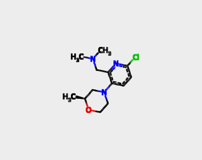 C[C@H]1CN(c2ccc(Cl)nc2CN(C)C)CCO1